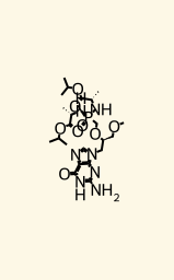 COC[C@@H](Cn1cnc2c(=O)[nH]c(N)nc21)OCP(=O)(N[C@@H](C)C(=O)OC(C)C)N[C@@H](C)C(=O)OC(C)C